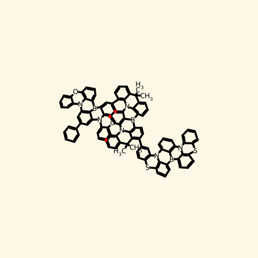 CC1(C)c2cccc3c2N(c2cccc4c2B3c2ccc(-c3ccc5c(c3)N3c6cccc7c6B(c6cccc8c6N7c6ccccc6S8)c6cccc(c63)S5)c3c2N4c2ccccc2C3(C)C)c2c(-c3cc4c5c(c3)B3c6cccc7c6N(c6ccccc6O7)c6cc(-c7ccccc7)cc(c63)N5c3ccccc3O4)cccc21